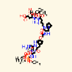 CCOP(=O)(OCC)C(NC(=O)CNC(=O)C(Cc1ccc(OCC(=O)NC(Cc2ccccc2)C(=O)NCCCCC(NC(=O)NC(CCC(=O)O)C(=O)O)C(=O)OC(C)(C)C)cc1)NC(=O)CN)P(=O)(OCC)OCC